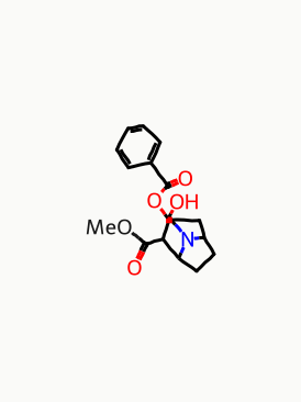 COC(=O)C1C(OC(=O)c2ccccc2)CC2CCC1N2CO